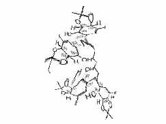 CC1(C)O[C@H]2[C@H](O)[C@@H](N(CCCCCN([C@H]3C=C(I)[C@H]4OC(C)(C)O[C@H]4[C@@H]3O)[C@H]3C=C(I)[C@H]4OC(C)(C)O[C@H]4[C@@H]3O)[C@H]3C=C(I)[C@H]4OC(C)(C)O[C@H]4[C@@H]3O)C=C(I)[C@H]2O1